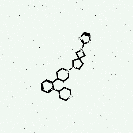 c1nc(N2CC3(CC[C@@H](N4CCC(c5ccccc5C5CCOCC5)CC4)C3)C2)oc#1